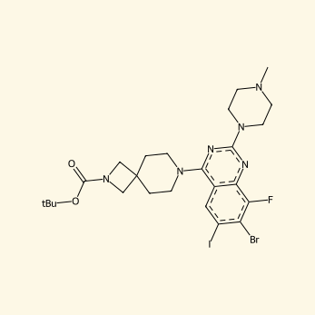 CN1CCN(c2nc(N3CCC4(CC3)CN(C(=O)OC(C)(C)C)C4)c3cc(I)c(Br)c(F)c3n2)CC1